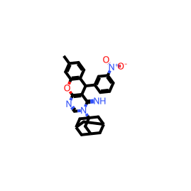 Cc1ccc2c(c1)Oc1ncn(C34CC5CC(CC(C5)C3)C4)c(=N)c1C2c1cccc([N+](=O)[O-])c1